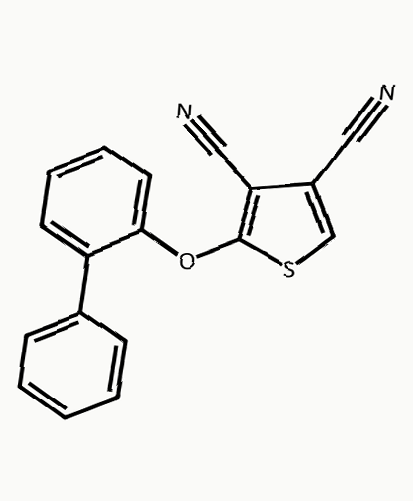 N#Cc1csc(Oc2ccccc2-c2ccccc2)c1C#N